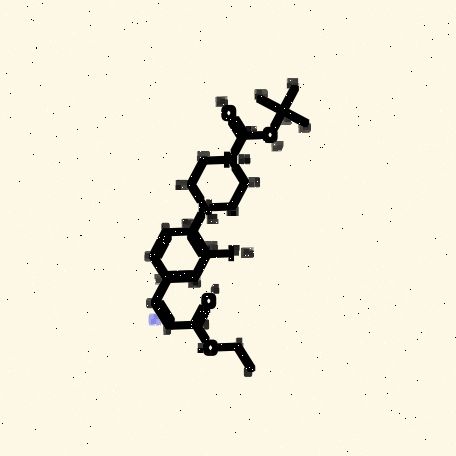 CCOC(=O)/C=C\c1ccc(N2CCN(C(=O)OC(C)(C)C)CC2)c(F)c1